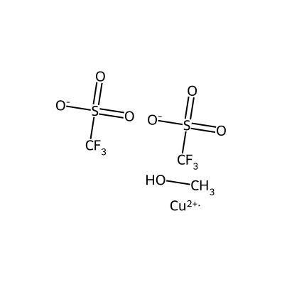 CO.O=S(=O)([O-])C(F)(F)F.O=S(=O)([O-])C(F)(F)F.[Cu+2]